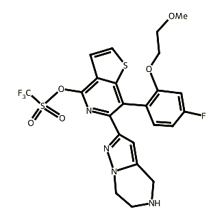 COCCOc1cc(F)ccc1-c1c(-c2cc3n(n2)CCNC3)nc(OS(=O)(=O)C(F)(F)F)c2ccsc12